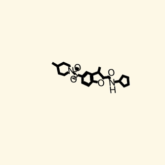 CC1CCN(S(=O)(=O)c2ccc3c(c2)C(C)C(C(=O)NC2CCCC2)O3)CC1